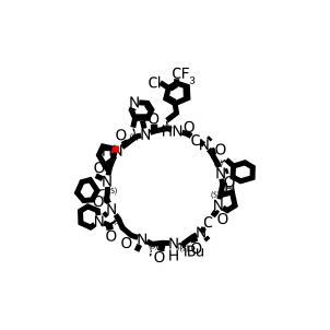 CC[C@H](C)[C@@H]1NC(=O)[C@H](C)N(C)C(=O)C[C@@H](C(=O)N2CCCCC2)N(C)C(=O)[C@H](C2CCCCC2)N(C)C(=O)C2(CCCC2)NC(=O)[C@H](Cc2cccnc2)N(C)C(=O)[C@H](CCc2ccc(C(F)(F)F)c(Cl)c2)NC(=O)CN(C)C(=O)[C@H](CC2CCCCC2)N(C)C(=O)[C@@H]2CCCN2C(=O)CN(C)C1=O